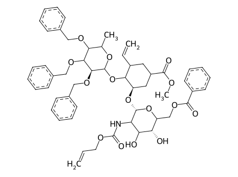 C=CCOC(=O)NC1C(O)[C@@H](O)C(COC(=O)c2ccccc2)O[C@H]1O[C@@H]1CC(C(=O)OC)CC(C=C)C1OC1OC(C)C(OCc2ccccc2)C(OCc2ccccc2)[C@@H]1OCc1ccccc1